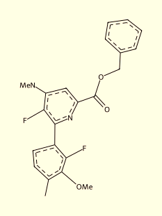 CNc1cc(C(=O)OCc2ccccc2)nc(-c2ccc(C)c(OC)c2F)c1F